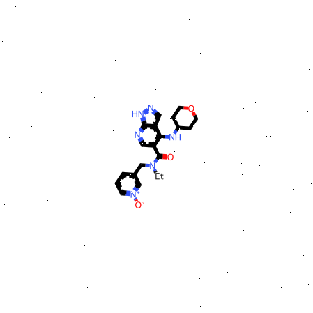 CCN(Cc1ccc[n+]([O-])c1)C(=O)c1cnc2[nH]ncc2c1NC1CCOCC1